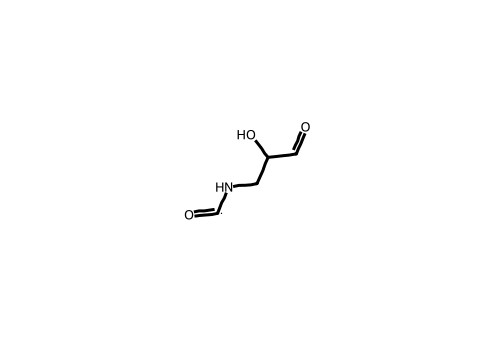 O=[C]NCC(O)C=O